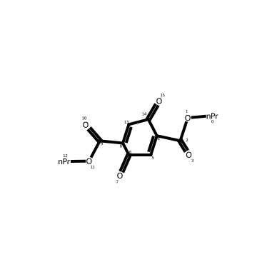 CCCOC(=O)C1=CC(=O)C(C(=O)OCCC)=CC1=O